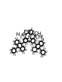 CC1(C)c2cccc3c2-n2c4c1cc(-c1c5c(c(-c6ccccc6)c6ccccc16)C=CCC5)cc4c1cc(-c4c5ccccc5c(-c5ccccc5)c5ccccc45)cc(c12)C3(C)C